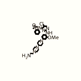 COc1cc(N2CCC(N3CCN(CCN)CC3)CC2)ccc1Nc1ncc(Cl)c(Nc2ccccc2P(C)(C)=O)n1